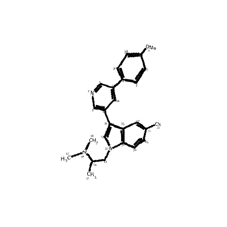 COc1ccc(-c2cncc(-c3cn(CC(C)N(C)C)c4ccc(C#N)cc34)c2)cc1